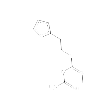 C/N=C(/NCCc1cccs1)NC(=N)N